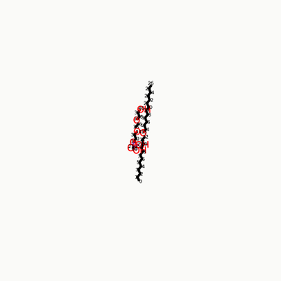 CCCCCCCCCCCCCOCCCCCCCCCCCCC.O=P(O)(O)OCCOCCOCCO